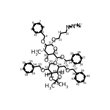 C[C@@H]1C(OCc2ccccc2)[C@H](OCCCN=[N+]=[N-])OC(COCc2ccccc2)[C@H]1O[C@@H]1OC(COCc2ccccc2)[C@@H]2OC(C)(C)O[C@@H]2C1OCc1ccccc1